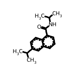 CC(C)NC(=O)c1cccc2cc(C(C)C)ccc12